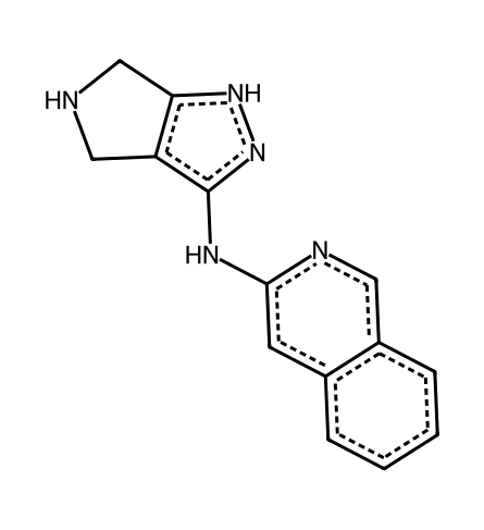 c1ccc2cc(Nc3n[nH]c4c3CNC4)ncc2c1